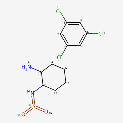 Clc1cc(Cl)cc(Cl)c1.NC1CCCCC1N=S(=O)=O